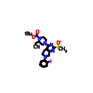 C[S+]([O-])c1nc2c(c(N3CCN(C(=O)OC(C)(C)C)C(CC#N)C3)n1)CCN(c1ccccc1I)C2